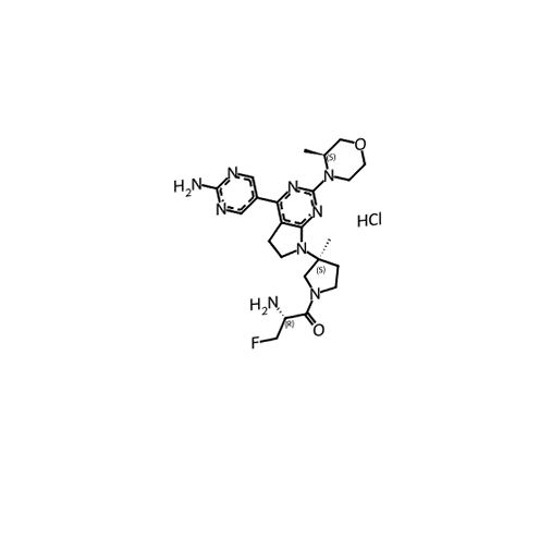 C[C@H]1COCCN1c1nc(-c2cnc(N)nc2)c2c(n1)N([C@@]1(C)CCN(C(=O)[C@@H](N)CF)C1)CC2.Cl